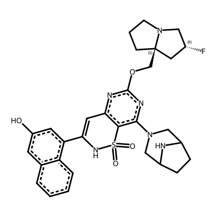 O=S1(=O)NC(c2cc(O)cc3ccccc23)=Cc2nc(OC[C@@]34CCCN3C[C@H](F)C4)nc(N3CC4CCC(C3)N4)c21